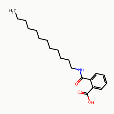 CCCCCCCCCCCCNC(=O)c1ccccc1C(=O)O